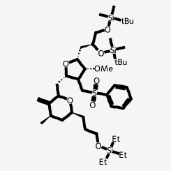 C=C1C(C[C@@H]2O[C@H](C[C@@H](CO[Si](C)(C)C(C)(C)C)O[Si](C)(C)C(C)(C)C)[C@H](OC)C2CS(=O)(=O)c2ccccc2)O[C@@H](CCCO[Si](CC)(CC)CC)C[C@H]1C